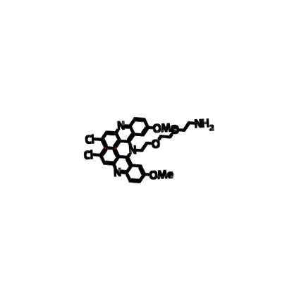 COc1ccc2nc3cc(Cl)ccc3c(N(CCOCCOCCN)c3c4ccc(Cl)cc4nc4ccc(OC)cc34)c2c1